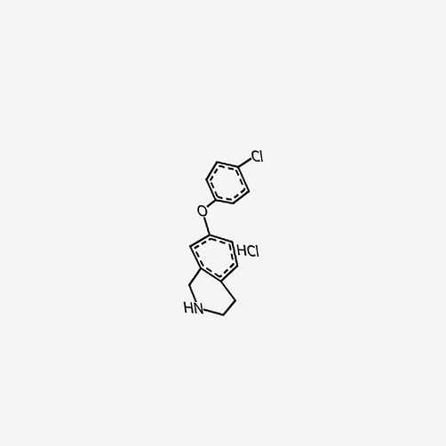 Cl.Clc1ccc(Oc2ccc3c(c2)CNCC3)cc1